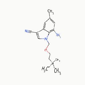 Cc1cc(N)c2c(c1)c(C#N)cn2COCC[Si](C)(C)C